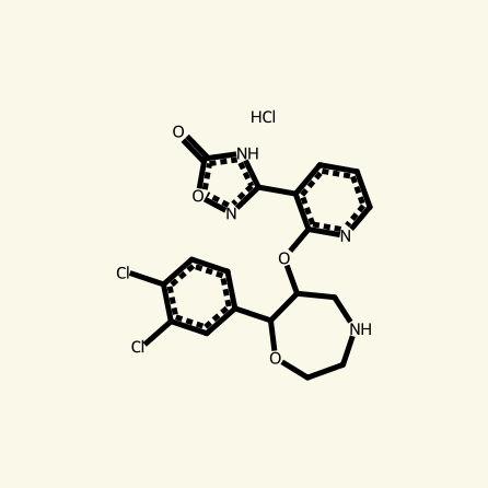 Cl.O=c1[nH]c(-c2cccnc2OC2CNCCOC2c2ccc(Cl)c(Cl)c2)no1